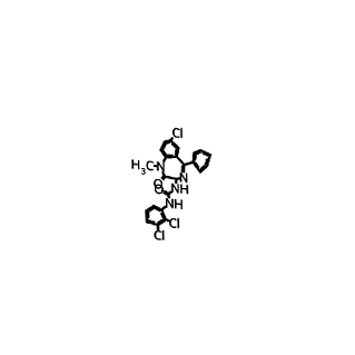 CN1C(=O)C(NC(=O)Nc2cccc(Cl)c2Cl)N=C(c2ccccc2)c2cc(Cl)ccc21